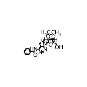 CC1(C)O[C@H]2[C@H](O1)[C@@H](CO)O[C@H]2n1ncc2c(NC(=O)c3ccccc3)ncnc21